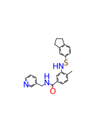 Cc1ccc(C(=O)NCc2cccnc2)cc1NSc1ccc2c(c1)CCC2